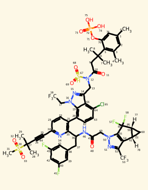 Cc1cc(C)c(C(C)(C)CC(=O)N(Cc2nn(CC(F)(F)F)c3c(-c4ccc(C#CC(C)(C)S(C)(=O)=O)nc4C(Cc4cc(F)cc(F)c4)NC(=O)Cn4nc(C(F)(F)F)c5c4C(F)(F)[C@@H]4C[C@H]54)ccc(Cl)c23)[SH](=O)=O)c(OP(=O)(O)O)c1